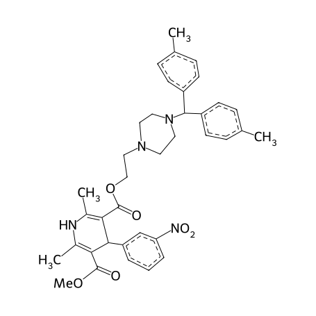 COC(=O)C1=C(C)NC(C)=C(C(=O)OCCN2CCN(C(c3ccc(C)cc3)c3ccc(C)cc3)CC2)C1c1cccc([N+](=O)[O-])c1